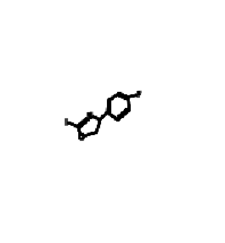 Fc1ccc(C2COC(I)=N2)cc1